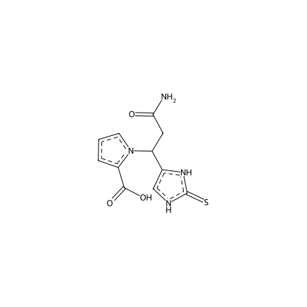 NC(=O)CC(c1c[nH]c(=S)[nH]1)n1cccc1C(=O)O